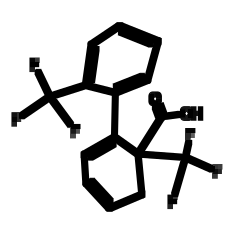 O=C(O)C1(C(F)(F)F)CC=CC=C1c1ccccc1C(F)(F)F